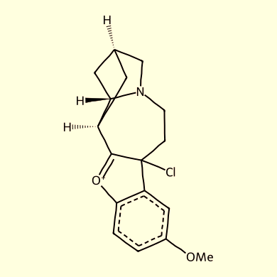 COc1ccc2c(c1)C1(Cl)CCN3C[C@H]4C[C@@H](C1=[O+]2)[C@@H]3C4